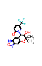 CC1(C)Oc2cc3nonc3cc2C(n2cc(C(F)(F)F)ccc2=O)C1O